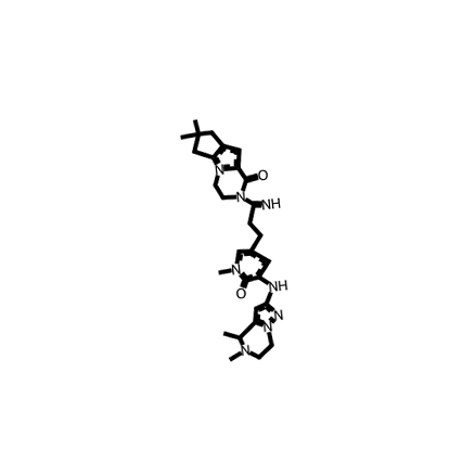 CC1c2cc(Nc3cc(CCC(=N)N4CCn5c(cc6c5CC(C)(C)C6)C4=O)cn(C)c3=O)nn2CCN1C